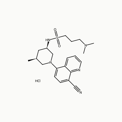 C[C@H]1C[C@@H](NS(=O)(=O)CCCN(C)C)CN(c2ccc(C#N)c3ncccc23)C1.Cl